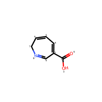 O=C(O)C1=CC=CCN=C1